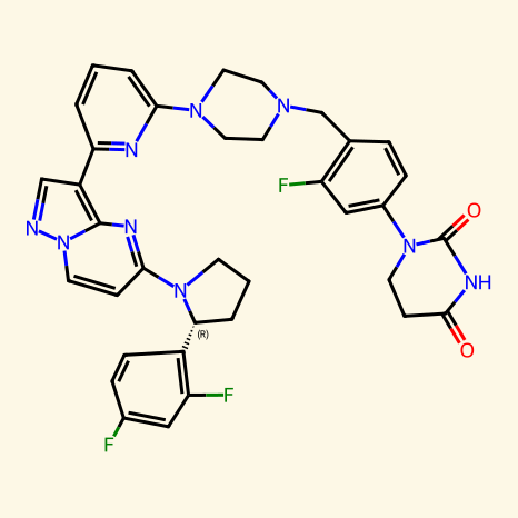 O=C1CCN(c2ccc(CN3CCN(c4cccc(-c5cnn6ccc(N7CCC[C@@H]7c7ccc(F)cc7F)nc56)n4)CC3)c(F)c2)C(=O)N1